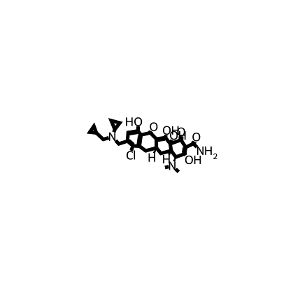 CN(C)[C@@H]1C(O)=C(C(N)=O)C(=O)C2(O)C(O)=C3C(=O)c4c(O)cc(CN(CC5CC5)C5CC5)c(Cl)c4C[C@H]3C[C@@H]12